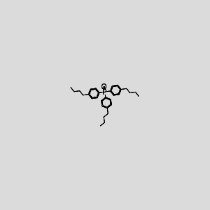 CCCCc1ccc(P(=O)(c2ccc(CCCC)cc2)c2ccc(CCCC)cc2)cc1